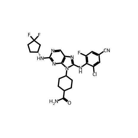 N#Cc1cc(F)c(Nc2nc3cnc(N[C@@H]4CCC(F)(F)C4)nc3n2C2CCC(C(N)=O)CC2)c(Cl)c1